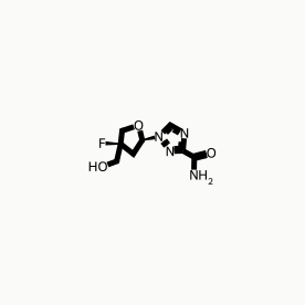 NC(=O)c1ncn([C@H]2C[C@](F)(CO)CO2)n1